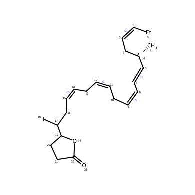 CC/C=C\C[C@H](C)/C=C/C=C\C/C=C\C/C=C\CC(I)C1CCC(=O)O1